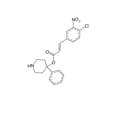 O=C(/C=C/c1ccc(Cl)c([N+](=O)[O-])c1)OC1(c2ccccc2)CCNCC1